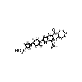 C[C@@H]1CCCCCN1C(=O)c1cc(C2CC2)n2nc(-c3ccc(-n4cc(C(=O)O)cn4)cc3F)cc2n1